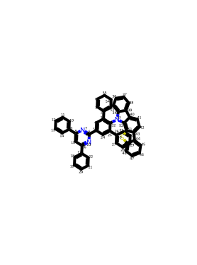 C1=CC(c2cc(-c3nc(-c4ccccc4)cc(-c4ccccc4)n3)cc(-c3ccccc3)c2-n2c3ccccc3c3ccc4c5ccccc5sc4c32)=CCC1